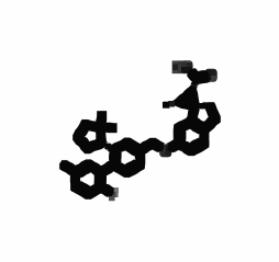 Cc1ccc(F)c(-c2ccc(COc3ccc4c(c3)[C@@]3(CC4)[C@H](C)[C@@H]3C(=O)O)cc2[C@@H]2CCCC2(C)C)c1